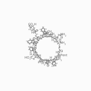 CCCCC[C@H]1NC(=O)CSC[C@@H](C(N)=O)NC(=O)[C@H](CCCC(N)=O)NC(=O)[C@H]([C@@H](C)O)NC(=O)[C@H](Cc2cn(C)c3ccccc23)NC(=O)[C@H](CCCCNC(=O)N2CCN(CC(=O)O)CC2)NC(=O)[C@H](Cc2cn(C)c3ccccc23)NC(=O)[C@H](Cc2ccccc2)N(C)C(=O)[C@H](CCCC(=O)O)NC(=O)[C@H](CC(C)C)NC(=O)[C@H](CC(N)=O)NC(=O)[C@H](Cc2cccnc2)N(C)C1=O